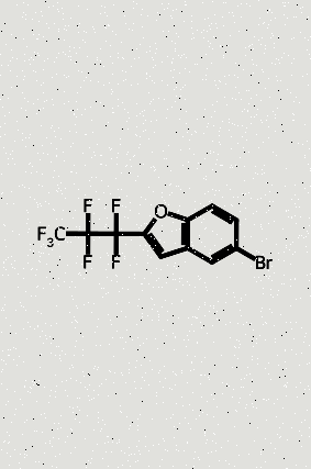 FC(F)(F)C(F)(F)C(F)(F)c1cc2cc(Br)ccc2o1